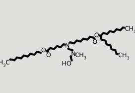 CCCCCCCCCCCOC(=O)CCCCCN(CCCCCCCC(=O)OC(CCCCCCCC)CCCCCCCC)CCN(C)CCO